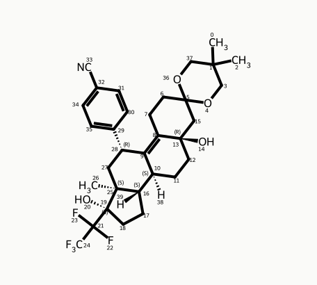 CC1(C)COC2(CCC3=C4[C@@H](CC[C@@]3(O)C2)[C@@H]2CC[C@@](O)(C(F)(F)C(F)(F)F)[C@@]2(C)C[C@@H]4c2ccc(C#N)cc2)OC1